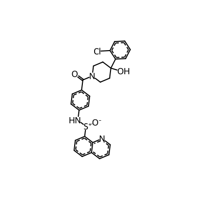 O=C(c1ccc(N[S+]([O-])c2cccc3cccnc23)cc1)N1CCC(O)(c2ccccc2Cl)CC1